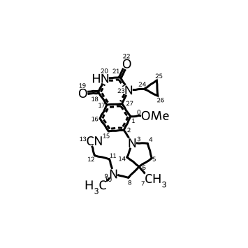 COc1c(N2CCC(C)(CN(C)CCC#N)C2)ccc2c(=O)[nH]c(=O)n(C3CC3)c12